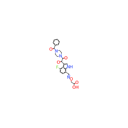 O=C(O)CO/N=C/c1ccc(F)c2c(C(=O)C(=O)N3CCN(C(=O)c4ccccc4)CC3)c[nH]c12